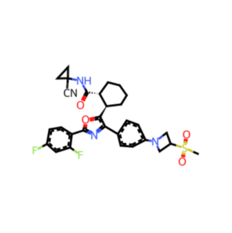 CS(=O)(=O)C1CN(c2ccc(-c3nc(-c4ccc(F)cc4F)oc3[C@@H]3CCCC[C@H]3C(=O)NC3(C#N)CC3)cc2)C1